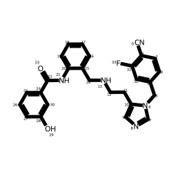 N#Cc1ccc(Cn2cncc2CCNCc2ccccc2NC(=O)c2cccc(O)c2)cc1F